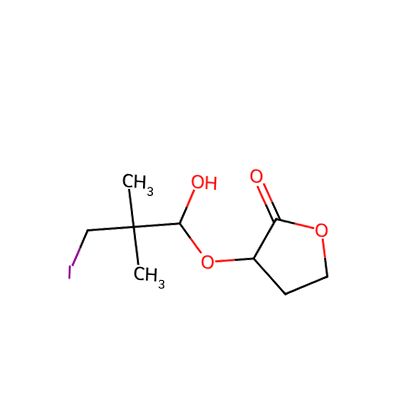 CC(C)(CI)C(O)OC1CCOC1=O